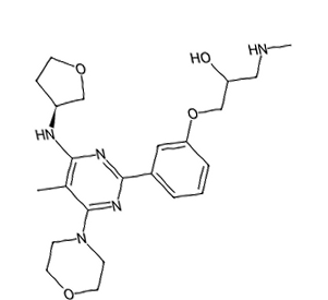 CNCC(O)COc1cccc(-c2nc(N[C@H]3CCOC3)c(C)c(N3CCOCC3)n2)c1